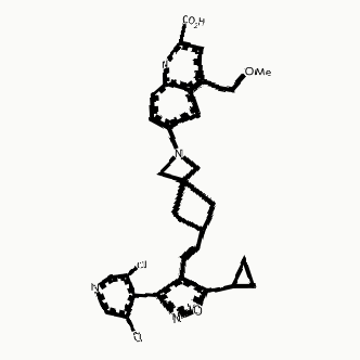 COCc1cc(C(=O)O)nc2ccc(N3CC4(CC(/C=C/c5c(-c6c(Cl)cncc6Cl)noc5C5CC5)C4)C3)cc12